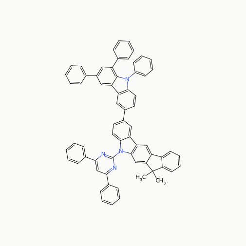 CC1(C)c2ccccc2-c2cc3c4cc(-c5ccc6c(c5)c5cc(-c7ccccc7)cc(-c7ccccc7)c5n6-c5ccccc5)ccc4n(-c4nc(-c5ccccc5)cc(-c5ccccc5)n4)c3cc21